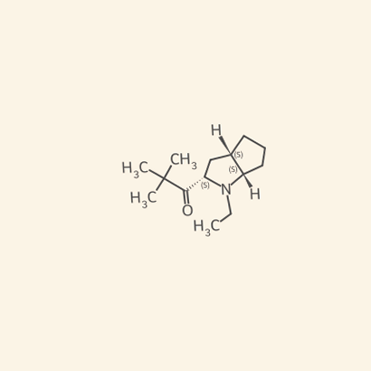 CCN1[C@H](C(=O)C(C)(C)C)C[C@@H]2CCC[C@@H]21